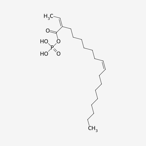 CC=C(CCCCCC/C=C\CCCCCCCC)C(=O)OP(=O)(O)O